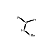 C[CH]CCBN(C(C)C)C(C)C